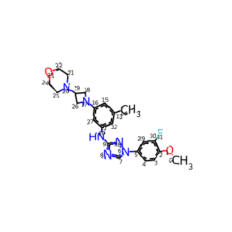 COc1ccc(-n2cnc(Nc3cc(C)cc(N4CC(N5CCOCC5)C4)c3)n2)cc1F